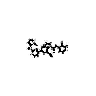 Cn1nccc1Nc1nccc(-c2cc(C#N)c3c(ccn3C(=O)Cc3cccc(Cl)c3Cl)c2)n1